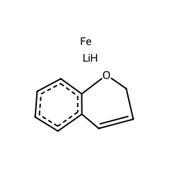 C1=Cc2ccccc2OC1.[Fe].[LiH]